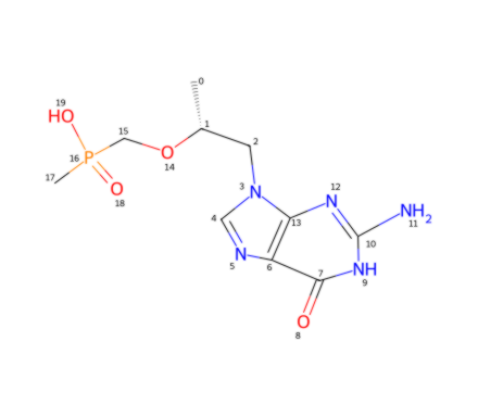 C[C@H](Cn1cnc2c(=O)[nH]c(N)nc21)OCP(C)(=O)O